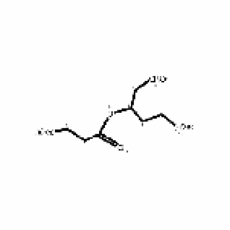 CCCCCCCCCCCCC(=O)OC(C[C]=O)CCCCCCCCCCCC